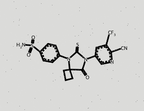 N#Cc1ncc(N2C(=O)C3(CCC3)N(c3ccc(S(N)(=O)=O)cc3)C2=S)cc1C(F)(F)F